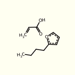 C=CC(=O)O.CCCCc1ccco1